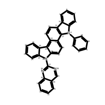 c1ccc(-n2c3ccccc3c3ccc4c(ccc5c4c4ccccc4n5-c4ncc5ccccc5n4)c32)cc1